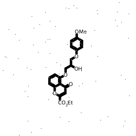 CCOC(=O)c1cc(=O)c2c(OCC(O)COc3ccc(OC)cc3)cccc2o1